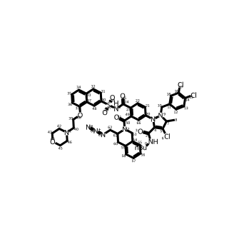 CCCCNC(=O)C1=C(Cl)C(C)N(Cc2ccc(Cl)c(Cl)c2)N1c1ccc(C(=O)NS(=O)(=O)c2ccc3cccc(OCCN4CCOCC4)c3c2)c(C(=O)N2Cc3ccccc3CC2CN=[N+]=[N-])c1